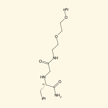 CCCOCCOCCNC(=O)CN[C@@H](CC(C)C)C(N)=O